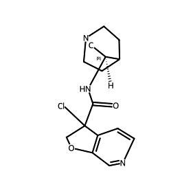 O=C(N[C@H]1CN2CCC1CC2)C1(Cl)COc2cnccc21